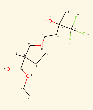 CCOC(=O)C(C)(CC)COCCC(C)(O)C(F)(F)F